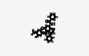 Cc1cc2c(cc1N(C)C)Oc1cc(NC(=O)c3ccccc3)c3ncn(-c4ccccc4)c3c1N2